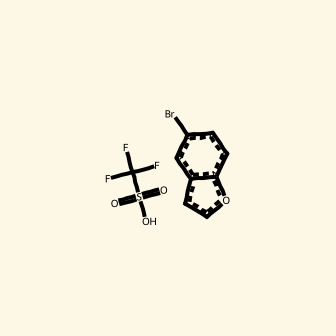 Brc1ccc2occc2c1.O=S(=O)(O)C(F)(F)F